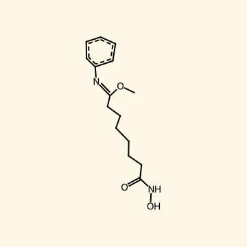 CO/C(CCCCCCC(=O)NO)=N\c1ccccc1